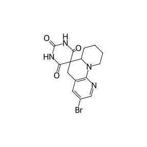 O=C1NC(=O)C2(Cc3cc(Br)cnc3N3CCCCC32)C(=O)N1